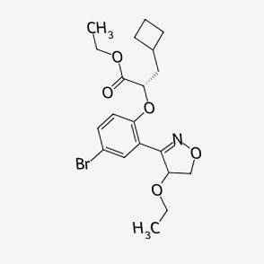 CCOC(=O)[C@H](CC1CCC1)Oc1ccc(Br)cc1C1=NOCC1OCC